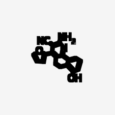 N#Cc1c(N)nc2c(c1-c1ccco1)CCc1c(O)cccc1-2